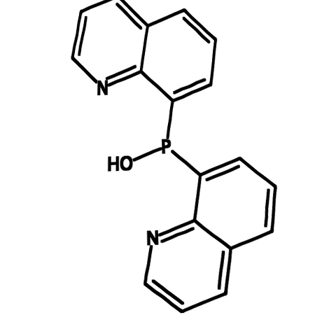 OP(c1cccc2cccnc12)c1cccc2cccnc12